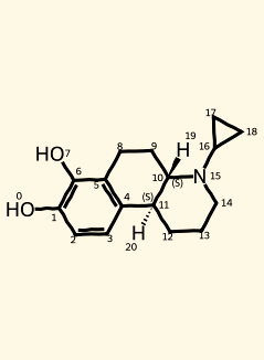 Oc1ccc2c(c1O)CC[C@H]1[C@H]2CCCN1C1CC1